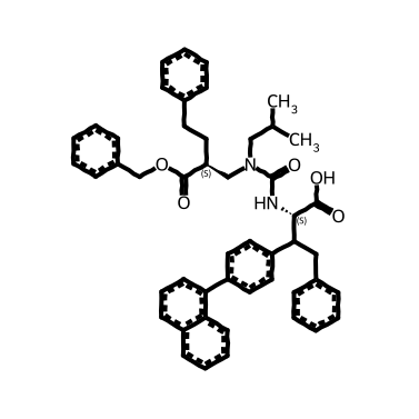 CC(C)CN(C[C@H](CCc1ccccc1)C(=O)OCc1ccccc1)C(=O)N[C@H](C(=O)O)C(Cc1ccccc1)c1ccc(-c2cccc3ccccc23)cc1